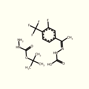 C/C(=N/NC(=O)O)c1ccc(C(F)(F)F)c(F)c1.CC(C)(C)OC(=O)NN